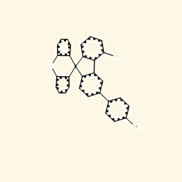 Nc1ccc(-c2ccc3c(c2)-c2c(Cl)cccc2C32c3ccccc3Oc3ccccc32)cc1